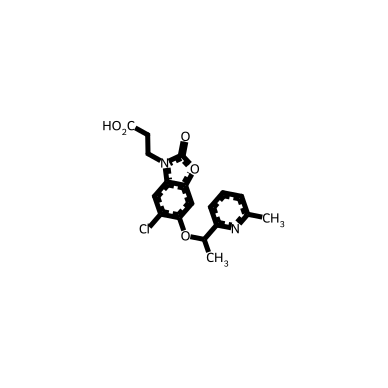 Cc1cccc(C(C)Oc2cc3oc(=O)n(CCC(=O)O)c3cc2Cl)n1